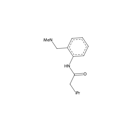 CNCc1ccccc1NC(=O)CC(C)C